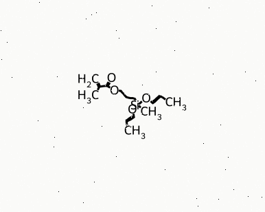 C=C(C)C(=O)OCCC[Si](C)(OC=CC)OC=CC